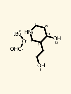 CC(C)(C)OC=O.OCCC1CNCCC1O